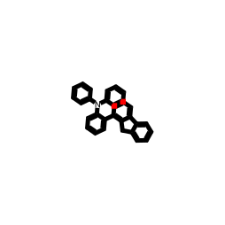 c1ccc(N(c2ccccc2)c2ccccc2-c2cccc3c2Cc2ccccc2-3)cc1